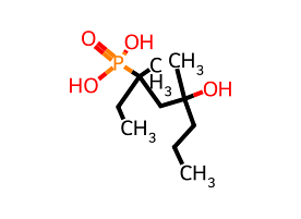 CCCC(C)(O)CC(C)(CC)P(=O)(O)O